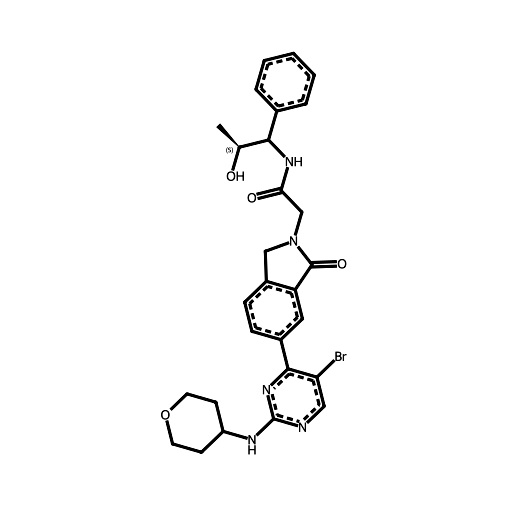 C[C@H](O)C(NC(=O)CN1Cc2ccc(-c3nc(NC4CCOCC4)ncc3Br)cc2C1=O)c1ccccc1